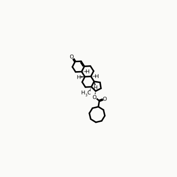 C[C@]12CC[C@H]3[C@@H](CCC4=CC(=O)CC[C@@H]43)[C@@H]1CC[C@@H]2OC(=O)C1CCCCCCC1